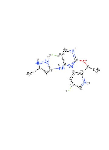 Cc1cc(Nc2nc(OC(C)c3ccc(F)cn3)ncc2F)n[nH]1